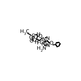 CCCO[P@@]1(=O)OC[C@H]2O[C@@H](n3cnc4c(OCc5ccccc5)nc(N)nc43)[C@](C)(F)[C@@H]2O1